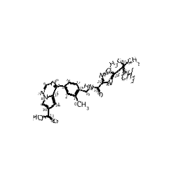 Cc1cc(-c2ncnn3cc(C(=O)O)cc23)ccc1CNC(=O)c1noc(C(C)(C)C)n1